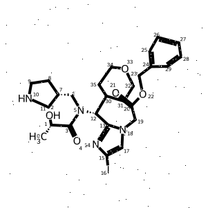 C[C@H](O)C(=O)N(C[C@H]1CCNC1)[C@@H](c1nc(I)cn1CC(=O)OCc1ccccc1)C1CCOCC1